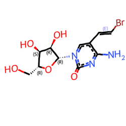 Nc1nc(=O)n([C@@H]2O[C@H](CO)[C@@H](O)[C@H]2O)cc1/C=C/Br